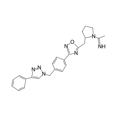 CC(=N)N1CCCC1Cc1nc(-c2ccc(Cn3cc(-c4ccccc4)nn3)cc2)no1